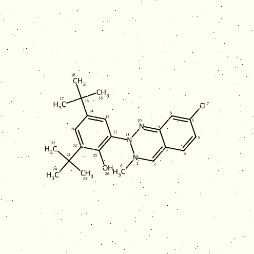 CN1C=c2ccc(Cl)cc2=NN1c1cc(C(C)(C)C)cc(C(C)(C)C)c1O